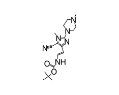 CN1CCN(c2nc(/C=C/NC(=O)OC(C)(C)C)c(C#N)n2C)CC1